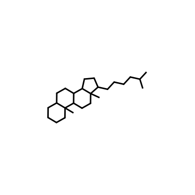 CC(C)CCCCC1CCC2C3CCC4CCCCC4(C)C3CCC12C